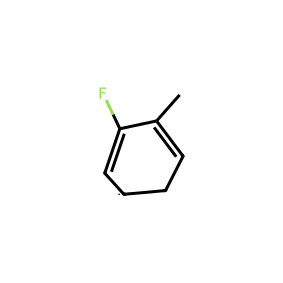 CC1=CC[CH]C=C1F